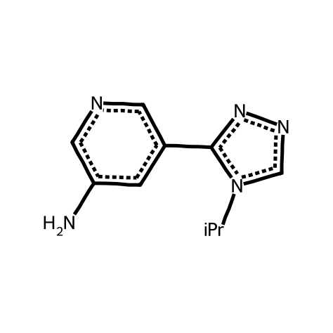 CC(C)n1cnnc1-c1cncc(N)c1